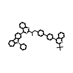 CC(Cc1ccc(-c2ccc(-c3cc(C(C)(C)C)nc4ccccc34)cc2)cc1)c1nc(-c2ccc3c4ccccc4n(-c4ccccc4)c3c2)c2ccccc2n1